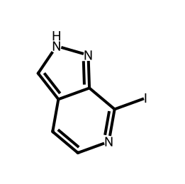 Ic1nccc2c[nH]nc12